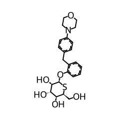 OC[C@@H]1S[C@H](Oc2ccccc2Cc2ccc(N3CCOCC3)cc2)[C@H](O)[C@@H](O)[C@@H]1O